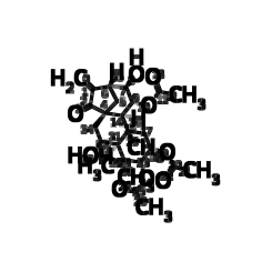 C=C1C(=O)[C@]23C[C@H]1[C@@H](O)[C@H](OC(C)=O)[C@H]2[C@]1(C)C[C@H](OC(C)=O)[C@H](OC(C)=O)C(C)(C)[C@H]1[C@@H](O)C3